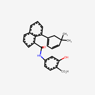 CC1(C)C=CC=C(c2cccc3cccc(C(=O)Nc4ccc(C(=O)O)c(O)c4)c23)C1